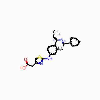 C/C=C(\N=C(/C)c1ccccc1)c1ccc(Nc2nc(CC(=O)O)cs2)cc1